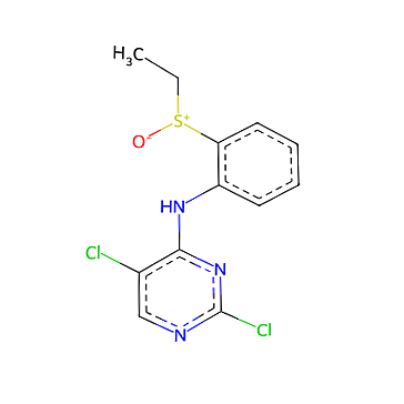 CC[S+]([O-])c1ccccc1Nc1nc(Cl)ncc1Cl